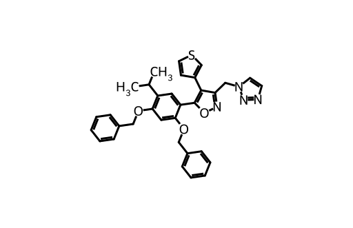 CC(C)c1cc(-c2onc(Cn3ccnn3)c2-c2ccsc2)c(OCc2ccccc2)cc1OCc1ccccc1